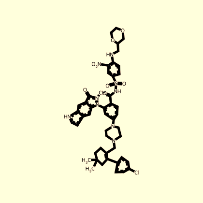 Cn1c(=O)c2cc3[nH]ccc3cc2n1-c1cc(N2CCN(CC3=C(c4ccc(Cl)cc4)CC(C)(C)CC3)CC2)ccc1C(=O)NS(=O)(=O)c1ccc(NCC2COCCO2)c([N+](=O)[O-])c1